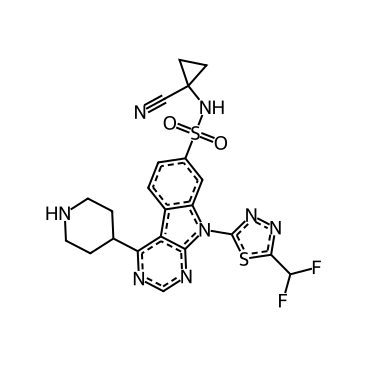 N#CC1(NS(=O)(=O)c2ccc3c4c(C5CCNCC5)ncnc4n(-c4nnc(C(F)F)s4)c3c2)CC1